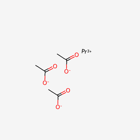 CC(=O)[O-].CC(=O)[O-].CC(=O)[O-].[Pr+3]